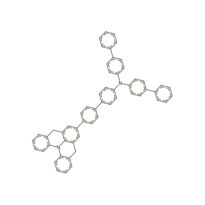 c1ccc(-c2ccc(N(c3ccc(-c4ccccc4)cc3)c3ccc(-c4ccc(-c5cc6c7c(c5)Cc5ccccc5N7c5ccccc5C6)cc4)cc3)cc2)cc1